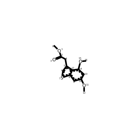 COC(=O)Cc1csc2cc(OC)cc(OC)c12